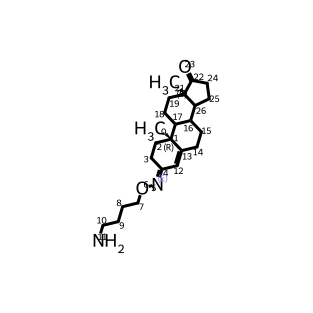 C[C@]12CC/C(=N\OCCCCN)C=C1CCC1C2CC[C@]2(C)C(=O)CCC12